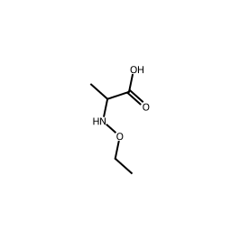 CCONC(C)C(=O)O